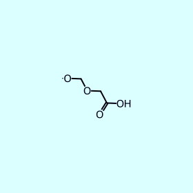 [O]COCC(=O)O